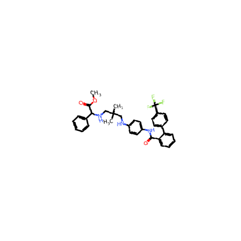 COC(=O)C(NCC(C)(C)CNc1ccc(NC(=O)c2ccccc2-c2ccc(C(F)(F)F)cc2)cc1)c1ccccc1